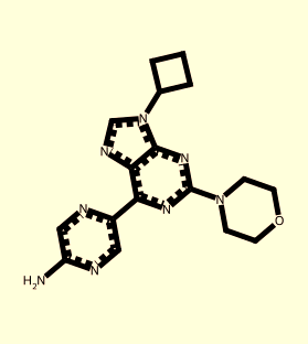 Nc1cnc(-c2nc(N3CCOCC3)nc3c2ncn3C2CCC2)cn1